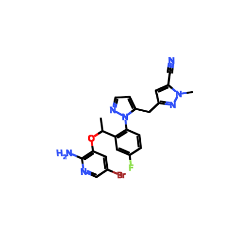 CC(Oc1cc(Br)cnc1N)c1cc(F)ccc1-n1nccc1Cc1cc(C#N)n(C)n1